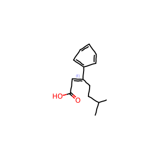 CC(C)CC/C(=C\C(=O)O)c1ccccc1